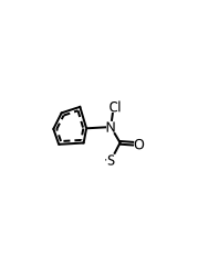 O=C([S])N(Cl)c1ccccc1